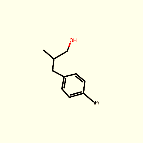 CC(CO)Cc1ccc(C(C)C)cc1